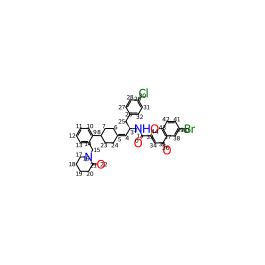 O=C(N[C@@H](C=C1CCC(c2ccccc2CN2CCCCC2=O)CC1)Cc1ccc(Cl)cc1)c1cc(=O)c2cc(Br)ccc2o1